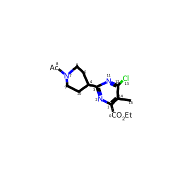 CCOC(=O)c1nc(C2CCN(C(C)=O)CC2)nc(Cl)c1C